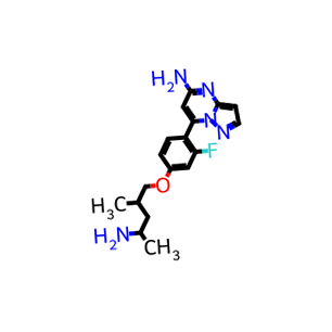 CC(N)CC(C)COc1ccc(-c2cc(N)nc3ccnn23)c(F)c1